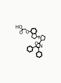 O=C(O)COc1cccc2c1CCC2N1CCCC1c1nc(-c2ccccc2)c(-c2ccccc2)o1